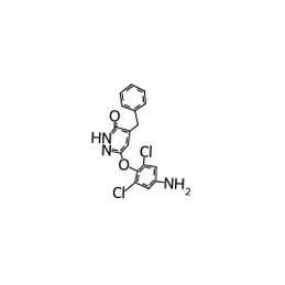 Nc1cc(Cl)c(Oc2cc(Cc3ccccc3)c(=O)[nH]n2)c(Cl)c1